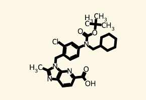 Cc1nc2ccc(C(=O)O)nc2n1Cc1ccc(N(CC2CCCCC2)C(=O)OC(C)(C)C)cc1Cl